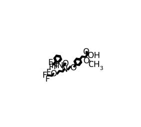 CCOC(Cc1ccc(OCCN(CCCOCC(F)(F)F)C(=O)Nc2ccccc2C(F)(F)F)cc1)C(=O)O